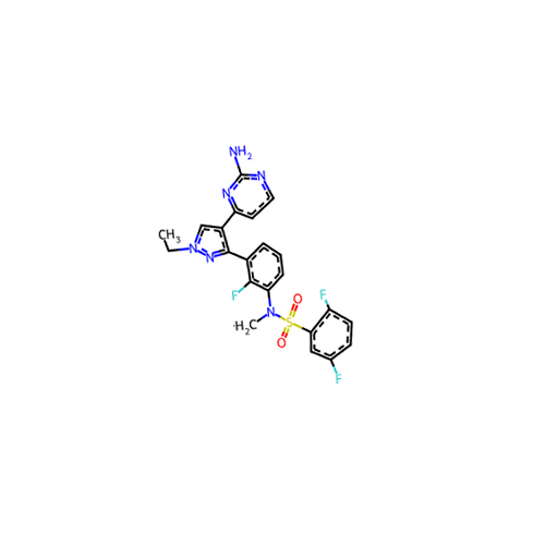 [CH2]N(c1cccc(-c2nn(CC)cc2-c2ccnc(N)n2)c1F)S(=O)(=O)c1cc(F)ccc1F